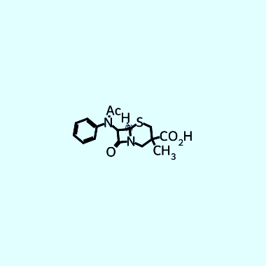 CC(=O)N(c1ccccc1)C1C(=O)N2CC(C)(C(=O)O)CS[C@H]12